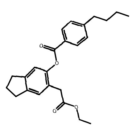 CCCCc1ccc(C(=O)Oc2cc3c(cc2CC(=O)OCC)CCC3)cc1